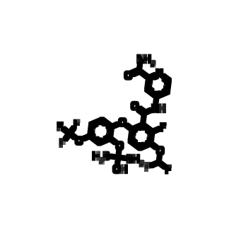 BC(B)(O)Oc1cc(OC(F)(F)F)ccc1Oc1ccc(OC(F)F)c(F)c1C(=O)Nc1ccnc(C(N)=O)c1